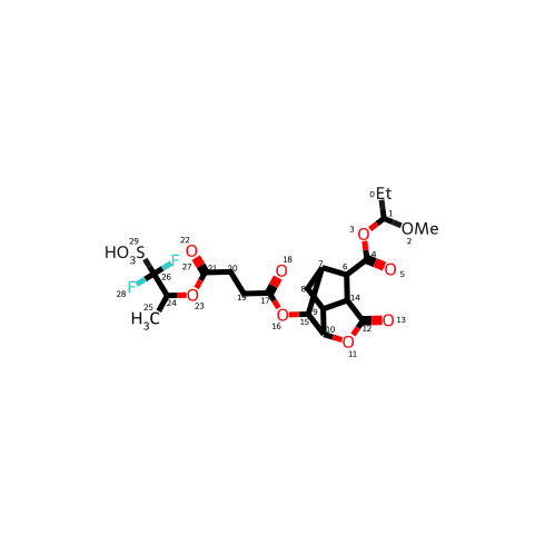 CCC(OC)OC(=O)C1C2CC3C(OC(=O)C31)C2OC(=O)CCC(=O)OC(C)C(F)(F)S(=O)(=O)O